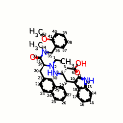 CCN(N[C@H](CC(=O)O)Cc1c[nH]c2ccccc12)[C@@H](Cc1ccc2ccccc2c1)C(=O)N(C)Cc1ccccc1OC